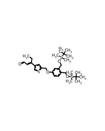 CCC(=CC=O)c1csc(COc2ccc(CO[Si](C)(C)C(C)(C)C)c(CO[Si](C)(C)C(C)(C)C)c2)c1